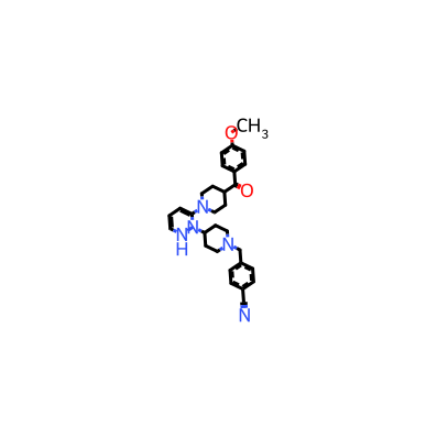 COc1ccc(C(=O)C2CCN(C3=CC=CNN3C3CCN(Cc4ccc(C#N)cc4)CC3)CC2)cc1